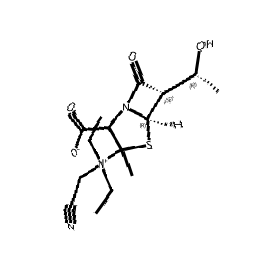 CC[N+](CC)(CC#N)C1(C)S[C@@H]2[C@@H]([C@@H](C)O)C(=O)N2C1C(=O)[O-]